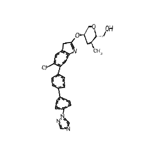 C[C@H]1C[C@@H](OC2=Nc3cc(-c4ccc(-c5ccc(-n6cncn6)cc5)cc4)c(Cl)cc3C2)CO[C@@H]1CO